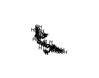 Cn1cnc(CCNc2nc(N[C@H]3CC[C@H](Nc4nc(Cl)nc(N[C@H]5CC[C@H](Nc6nc(NCCc7cn(C)cn7)nc7c6ncn7[C@@H]6C[C@H](NC(=O)CO)[C@@H](O)[C@H]6O)CC5)n4)CC3)c3ncn([C@@H]4C[C@H](NC(=O)CO)[C@@H](O)[C@H]4O)c3n2)c1